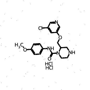 COc1ccc(NC(=O)N2CCNCC2COc2cncc(Cl)c2)cc1.Cl.Cl